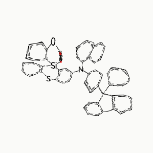 c1ccc(C2(c3ccc(N(c4ccc5c(c4)[Si]4(c6ccccc6Oc6ccccc64)c4ccccc4S5)c4cccc5ccccc45)cc3)c3ccccc3-c3ccccc32)cc1